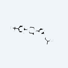 CC(N)COc1ncc(N2CCN(c3ncc(C(F)(F)F)cn3)CC2=O)s1